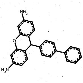 Nc1ccc2c(c1)Oc1cc(N)ccc1C2c1ccc(-c2ccccc2)cc1